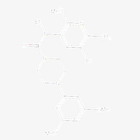 CCN(C(=O)N1CCN(c2cc(OC)cc(OC)c2)CC1)c1cc(C(C)=O)c(C)nc1OC